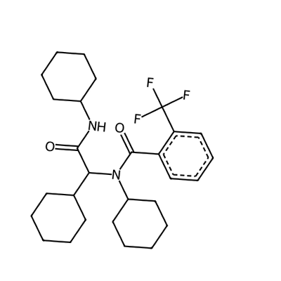 O=C(NC1CCCCC1)C(C1CCCCC1)N(C(=O)c1ccccc1C(F)(F)F)C1CCCCC1